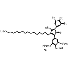 CCCCCCCCCCCCCCCCCCCCCCCCCC1=C(c2cc(CCCCC)c(CCCCC)c(CCCCC)c2)[N+](=[N-])C(c2cc(CC)c(CC)c(CC)c2)=C1CCCC.[Ni]